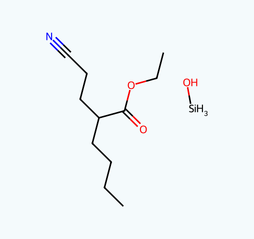 CCCCC(CCC#N)C(=O)OCC.O[SiH3]